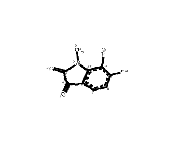 CN1C(=O)C(=O)c2ccc(F)c(F)c21